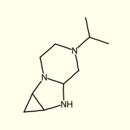 CC(C)N1CCN2C(C1)NC1CC12